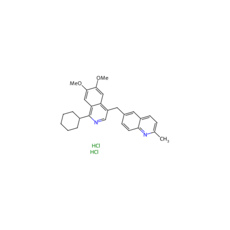 COc1cc2c(Cc3ccc4nc(C)ccc4c3)cnc(C3CCCCC3)c2cc1OC.Cl.Cl